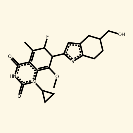 COC1=c2c(c(=O)[nH]c(=O)n2C2CC2)=C(C)C(F)C1c1cc2c(s1)CCC(CO)C2